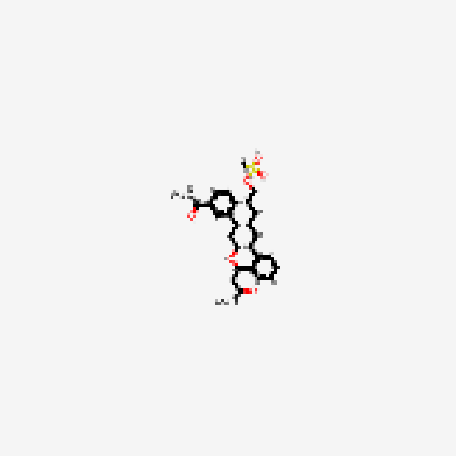 COC(=O)CC(OCCCc1cccc(C(=O)OC)c1)c1ccccc1CCCCCCOS(C)(=O)=O